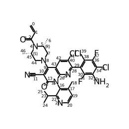 C=CC(=O)N1[C@H](C)CN(c2c(C#N)c(=O)n(-c3c(C)ccnc3C(C)C)c3nc(-c4c(F)c(N)c(Cl)c(F)c4Cl)c(Cl)cc23)C[C@@H]1C